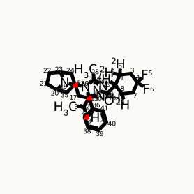 [2H]C1([2H])CC(F)(F)CC([2H])([2H])C1([2H])C(=O)NC(CCN1C2CCC1CC(n1c(C)nnc1C(C)C)C2)c1ccccc1